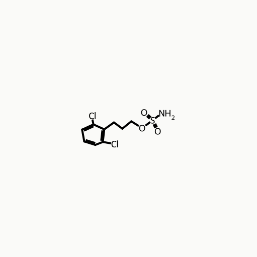 NS(=O)(=O)OCCCc1c(Cl)cccc1Cl